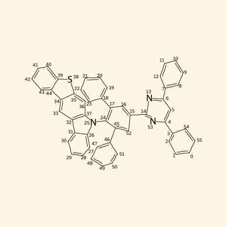 c1ccc(-c2cc(-c3ccccc3)nc(-c3cc(-c4ccccc4)c(-n4c5ccccc5c5cc6c(cc54)sc4ccccc46)c(-c4ccccc4)c3)n2)cc1